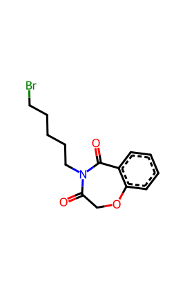 O=C1COc2ccccc2C(=O)N1CCCCCBr